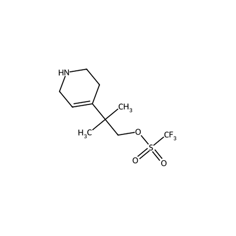 CC(C)(COS(=O)(=O)C(F)(F)F)C1=CCNCC1